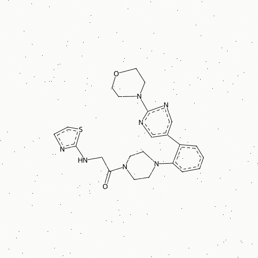 O=C(CNc1nccs1)N1CCN(c2ccccc2-c2cnc(N3CCOCC3)nc2)CC1